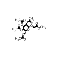 COC(=O)CO[C@@H]1O[C@H](COC(C)=O)[C@@H](OC(C)=O)[C@H](OC(C)=O)[C@H]1OC(C)=O